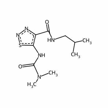 CC(C)CNC(=O)c1nnsc1NC(=O)N(C)C